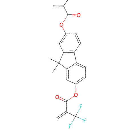 C=C(C)C(=O)Oc1ccc2c(c1)C(C)(C)c1cc(OC(=O)C(=C)C(F)(F)F)ccc1-2